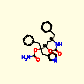 NC(=O)OC(Cc1ccccc1)(Cc1cncs1)[C@@H]1C[C@H](Cc2ccccc2)NC(=O)O1